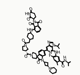 Cc1cc(F)c(Nc2nc(-c3ccc4c(c3)N(C3CC(N5CCCCC5)C3)C(=O)C43CCN(C(=O)[C@@H]4CCN(C(=O)CC5CCC(Nc6cccc7c6C(=O)N(C6CCC(=O)NC6=O)C7=O)CC5)C4)CC3)cc3ncn(C(C)C)c23)cc1C(=O)NC(C)C